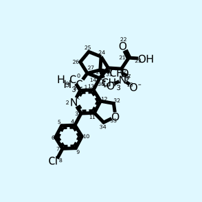 Cc1nc(-c2ccc(Cl)cc2)c2c(c1[C@]1(O[N+](=O)[O-])C(CC(=O)O)C3CCC1(C)C3(C)C)COC2